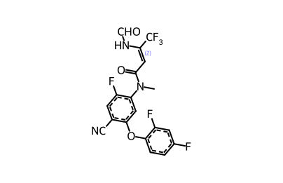 CN(C(=O)/C=C(\NC=O)C(F)(F)F)c1cc(Oc2ccc(F)cc2F)c(C#N)cc1F